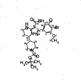 COc1cc(-c2nn3c(c2C(N)=O)NCCC3C2CCN(C(=O)OC(C)(C)C)CC2)cc(Cl)c1Br